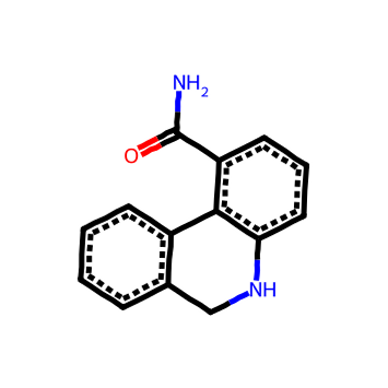 NC(=O)c1cccc2c1-c1ccccc1CN2